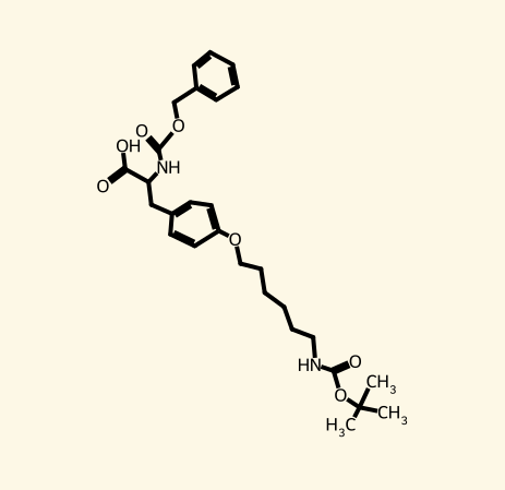 CC(C)(C)OC(=O)NCCCCCCOc1ccc(CC(NC(=O)OCc2ccccc2)C(=O)O)cc1